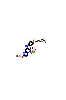 CCCCOc1ccc(Nc2cc3nc(OC)ccc3nc2C)cc1.Cl.O